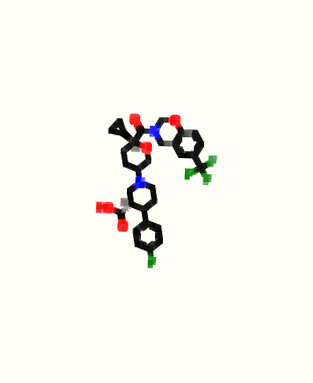 O=C(O)[C@@H]1CN(C2CC[C@@](C(=O)N3COc4ccc(C(F)(F)F)cc4C3)(C3CC3)OC2)CCC1c1ccc(F)cc1